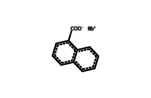 O=C([O-])c1cccc2ccccc12.[Rb+]